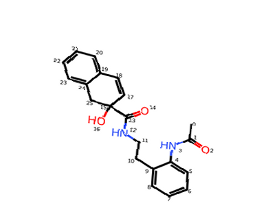 CC(=O)Nc1ccccc1CCNC(=O)C1(O)C=Cc2ccccc2C1